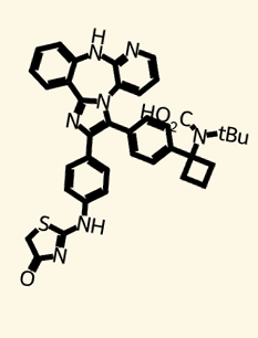 CC(C)(C)N(C(=O)O)C1(c2ccc(-c3c(-c4ccc(NC5=NC(=O)CS5)cc4)nc4n3-c3cccnc3Nc3ccccc3-4)cc2)CCC1